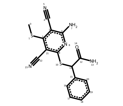 CSc1c(C#N)c(N)nc(SC(C(N)=O)c2ccccc2)c1C#N